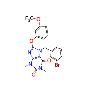 Cn1c(=O)c2c(nc(Oc3cccc(OC(F)(F)F)c3)n2Cc2cccc(Br)c2)n(C)c1=O